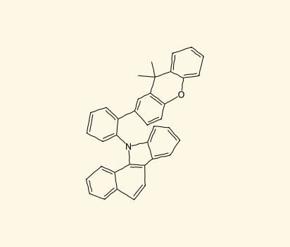 CC1(C)c2ccccc2Oc2ccc(-c3ccccc3-n3c4ccccc4c4ccc5ccccc5c43)cc21